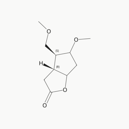 COC[C@H]1C(OC)CC2OC(=O)C[C@@H]21